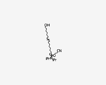 CC(C)N(C(C)C)P(OCCC#N)OCCCCCCSSCCCCCCO